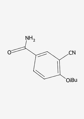 CC(C)COc1ccc(C(N)=O)cc1C#N